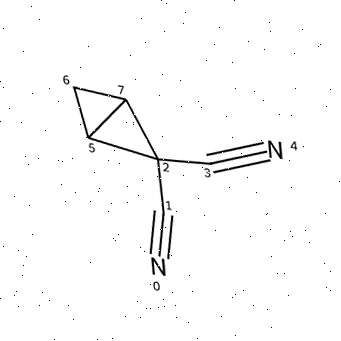 N#CC1(C#N)C2CC21